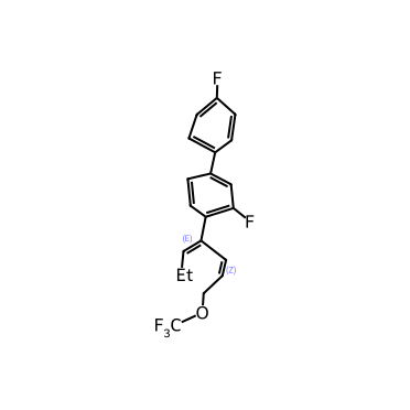 CC/C=C(\C=C/COC(F)(F)F)c1ccc(-c2ccc(F)cc2)cc1F